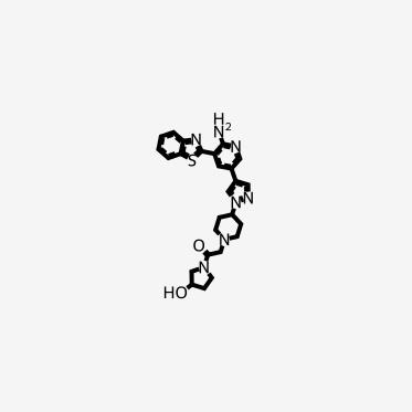 Nc1ncc(-c2cnn(C3CCN(CC(=O)N4CCC(O)C4)CC3)c2)cc1-c1nc2ccccc2s1